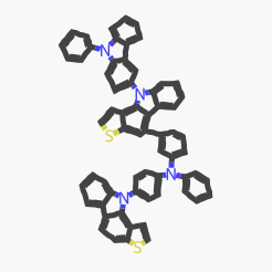 c1ccc(N(c2ccc(-n3c4ccccc4c4ccc5sccc5c43)cc2)c2cccc(-c3cc4sccc4c4c3c3ccccc3n4-c3ccc4c(c3)c3ccccc3n4-c3ccccc3)c2)cc1